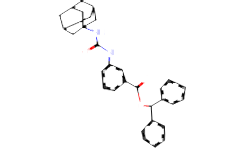 O=C(Nc1cccc(C(=O)OC(c2ccccc2)c2ccccc2)c1)NC12CC3CC(CC(C3)C1)C2